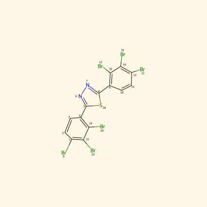 Brc1ccc(-c2nnc(-c3ccc(Br)c(Br)c3Br)s2)c(Br)c1Br